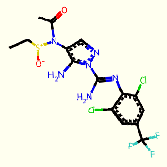 CC[S+]([O-])N(C(C)=O)c1cnn(C(N)=Nc2c(Cl)cc(C(F)(F)F)cc2Cl)c1N